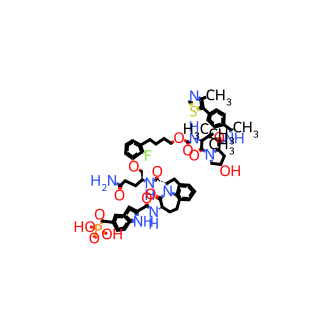 Cc1ncsc1-c1ccc([C@H](C)NC(=O)[C@@H]2C[C@@H](O)CN2C(=O)[C@@H](NC(=O)OCCCCc2cccc(OC[C@H](CCC(N)=O)NC(=O)[C@@H]3Cc4cccc5c4N3C(=O)[C@@H](NC(=O)c3cc4cc(C(=O)P(=O)(O)O)ccc4[nH]3)CC5)c2F)C(C)(C)C)cc1